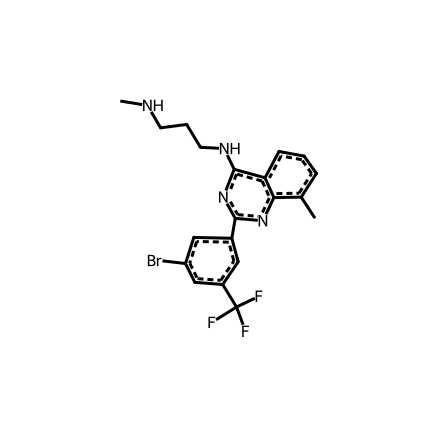 CNCCCNc1nc(-c2cc(Br)cc(C(F)(F)F)c2)nc2c(C)cccc12